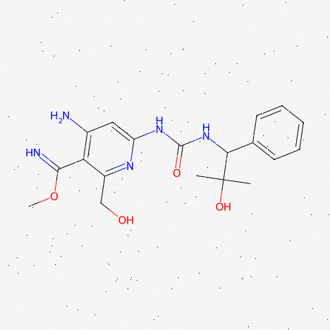 COC(=N)c1c(N)cc(NC(=O)NC(c2ccccc2)C(C)(C)O)nc1CO